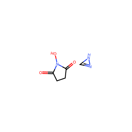 C1=NN1.O=C1CCC(=O)N1O